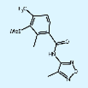 CSc1c(C(F)(F)F)ccc(C(=O)Nc2nonc2C)c1C